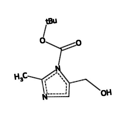 Cc1ncc(CO)n1C(=O)OC(C)(C)C